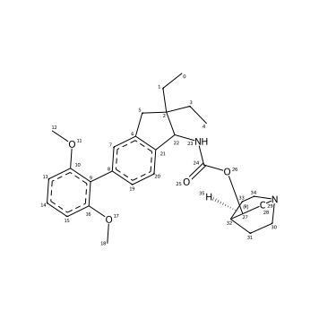 CCC1(CC)Cc2cc(-c3c(OC)cccc3OC)ccc2C1NC(=O)O[C@H]1CN2CCC1CC2